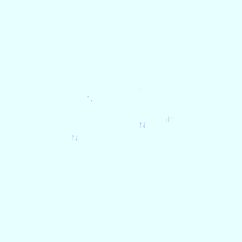 CC(C)N1CCc2[nH]cnc2C1=O